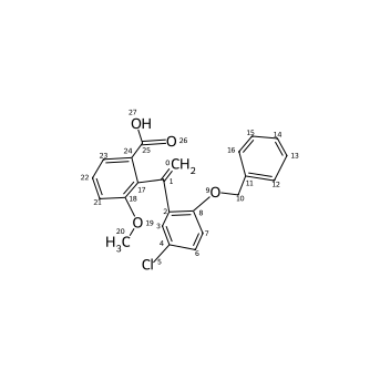 C=C(c1cc(Cl)ccc1OCc1ccccc1)c1c(OC)cccc1C(=O)O